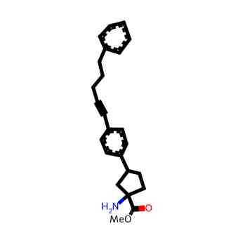 COC(=O)C1(N)CCC(c2ccc(C#CCCCc3ccccc3)cc2)C1